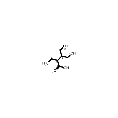 CCC(C(=O)O)C(CO)CO